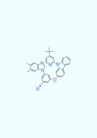 Cc1cc2ncn(-c3cc(C#N)cc(Oc4ccc5c6ccccc6n(-c6cc(C(C)(C)C)ccn6)c5c4)c3)c2cc1C